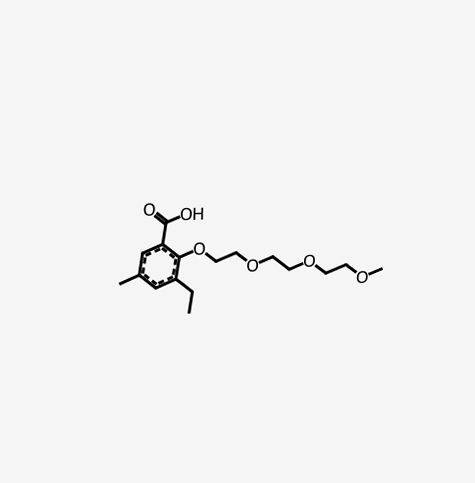 CCc1cc(C)cc(C(=O)O)c1OCCOCCOCCOC